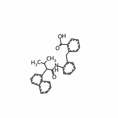 CC(C)C(C(=O)Nc1ccccc1Cc1ccccc1C(=O)O)c1cccc2ccccc12